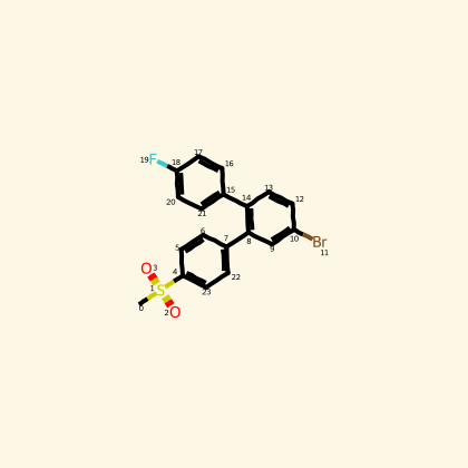 CS(=O)(=O)c1ccc(-c2cc(Br)ccc2-c2ccc(F)cc2)cc1